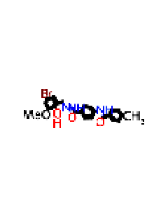 COc1cc(Br)cc(C=NNC(=O)c2ccc(NC(=O)c3ccc(C)cc3)cc2)c1O